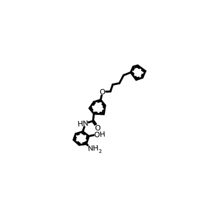 Nc1cccc(NC(=O)c2ccc(OCCCCc3ccccc3)cc2)c1O